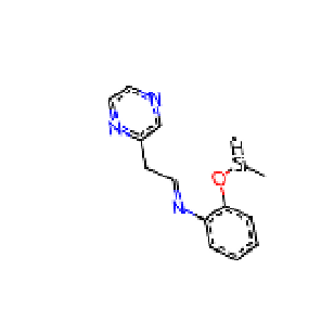 C[SiH](C)Oc1ccccc1N=CCc1cnccn1